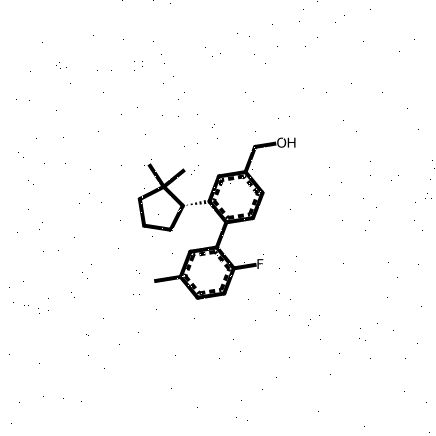 Cc1ccc(F)c(-c2ccc(CO)cc2[C@@H]2CCCC2(C)C)c1